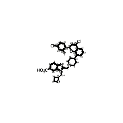 O=C(O)c1ccc2nc(CN3CCC(c4cccc5c4O[C@@H](c4ccc(Cl)cc4F)C=C5Cl)CC3)n(C[C@@H]3CCO3)c2c1